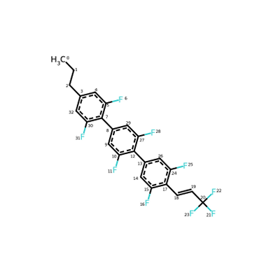 CCCc1cc(F)c(-c2cc(F)c(-c3cc(F)c(/C=C/C(F)(F)F)c(F)c3)c(F)c2)c(F)c1